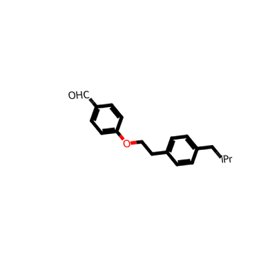 CC(C)Cc1ccc(CCOc2ccc(C=O)cc2)cc1